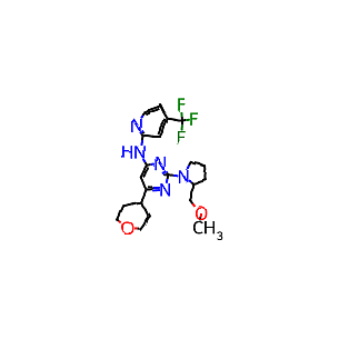 COCC1CCCN1c1nc(Nc2cc(C(F)(F)F)ccn2)cc(C2CCOCC2)n1